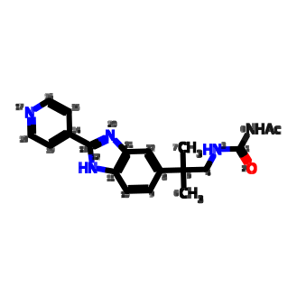 CC(=O)NC(=O)NCC(C)(C)c1ccc2[nH]c(-c3ccncc3)nc2c1